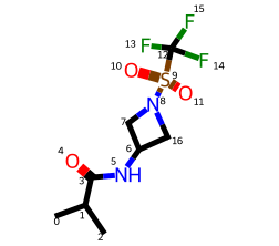 CC(C)C(=O)NC1CN(S(=O)(=O)C(F)(F)F)C1